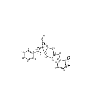 CCOC(=O)C1(CCc2ccccc2)CCN(Cc2ccc[nH]c2=O)CC1